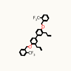 C=CCc1cc(-c2ccc(OCc3ccccc3C(F)(F)F)c(CC=C)c2)ccc1OCc1ccccc1C(F)(F)F